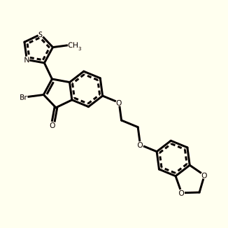 Cc1scnc1C1=C(Br)C(=O)c2cc(OCCOc3ccc4c(c3)OCO4)ccc21